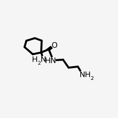 NCCCNC(=O)C1(N)CCCCC1